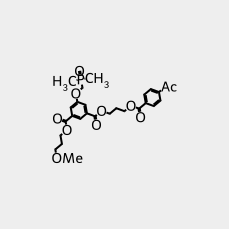 COCCCOC(=O)c1cc(OCP(C)(C)=O)cc(C(=O)OCCCOC(=O)c2ccc(C(C)=O)cc2)c1